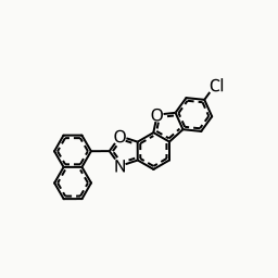 Clc1ccc2c(c1)oc1c2ccc2nc(-c3cccc4ccccc34)oc21